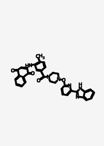 Cc1ccc(C(=O)N2CCN(Oc3cccc(-c4nc5ccccc5[nH]4)n3)CC2)cc1NC1=CC(=O)c2ccccc2C1=O